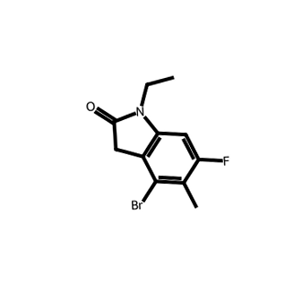 CCN1C(=O)Cc2c1cc(F)c(C)c2Br